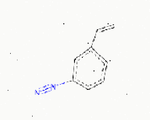 C=Cc1cccc([N+]#N)c1